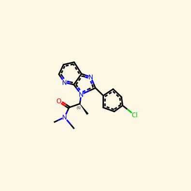 C[C@@H](C(=O)N(C)C)n1c(-c2ccc(Cl)cc2)nc2cccnc21